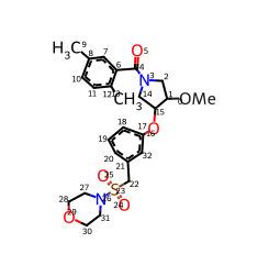 COC1CN(C(=O)c2cc(C)ccc2C)CC1Oc1cccc(CS(=O)(=O)N2CCOCC2)c1